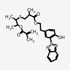 C=C(C)C(=O)OC(C)C(C)SCC(C)C(=O)OCCc1ccc(O)c(-n2nc3ccccc3n2)c1